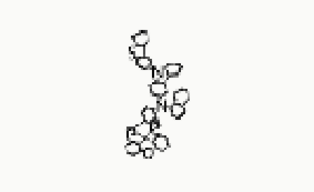 c1ccc2c(c1)Oc1ccccc1C21c2ccccc2-c2ccc(N(c3ccc4c(c3)c3ccccc3n4-c3ccc4sc5ccccc5c4c3)c3cccc4ccccc34)c3cccc1c23